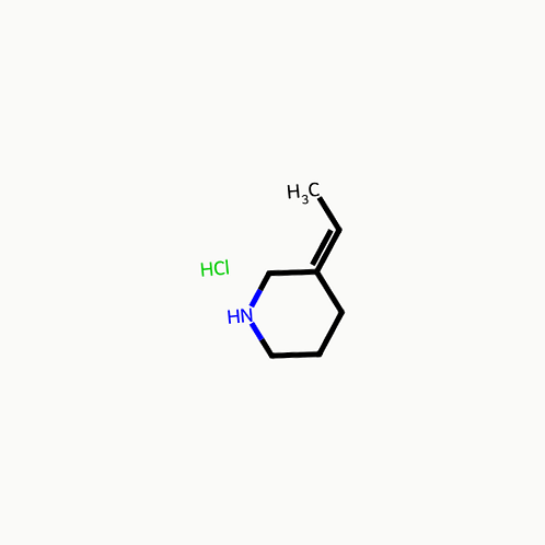 C/C=C1/CCCNC1.Cl